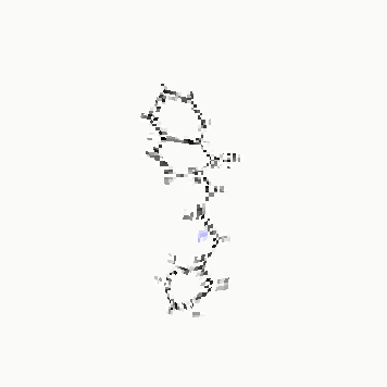 O[C@@H]1c2ccccc2C=C[C@@H]1O/N=C/c1ccccc1